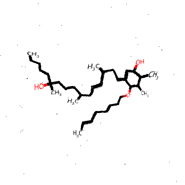 CCCCCCCCOC1C(CCC(C)CCCC(C)CCCC(C)(O)CCCCC)=CC(O)C(C)C1C